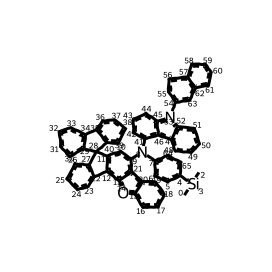 C[Si](C)(C)c1ccc(N(c2cc3c(c4oc5ccccc5c24)-c2ccccc2C32c3ccccc3-c3ccccc32)c2cccc3c2c2ccccc2n3-c2ccc3ccccc3c2)cc1